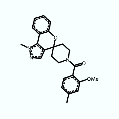 COc1cc(C)ccc1C(=O)N1CCC2(CC1)Oc1ccccc1-c1c2cnn1C